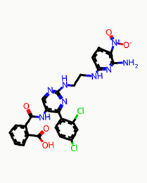 Nc1nc(NCCNc2ncc(NC(=O)c3ccccc3C(=O)O)c(-c3ccc(Cl)cc3Cl)n2)ccc1[N+](=O)[O-]